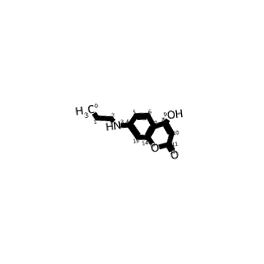 CCCNc1ccc2c(O)cc(=O)oc2c1